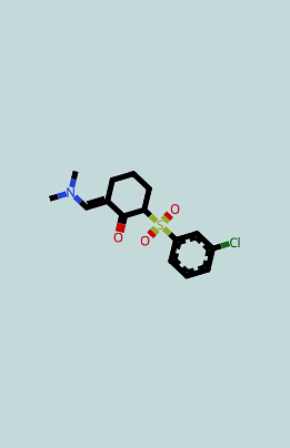 CN(C)/C=C1\CCCC(S(=O)(=O)c2cccc(Cl)c2)C1=O